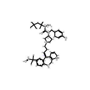 CC(C)(C)CC(C)(C)N(N)C(=O)N(CC1C=CC(Cl)=CC1)[C@H]1CCN(CC/C=C2\C3=C(COc4ccc(C(C)(C)N=O)cc42)NCC=C3)C1